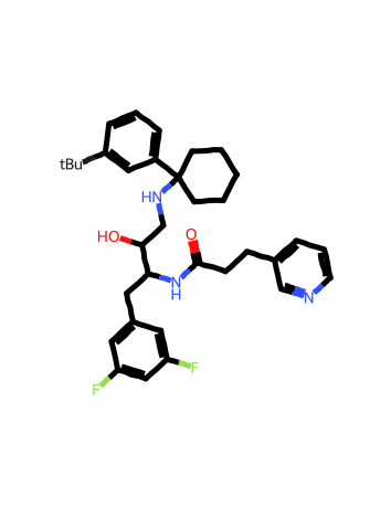 CC(C)(C)c1cccc(C2(NCC(O)C(Cc3cc(F)cc(F)c3)NC(=O)CCc3cccnc3)CCCCC2)c1